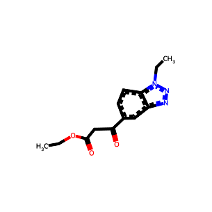 CCOC(=O)CC(=O)c1ccc2c(c1)nnn2CC